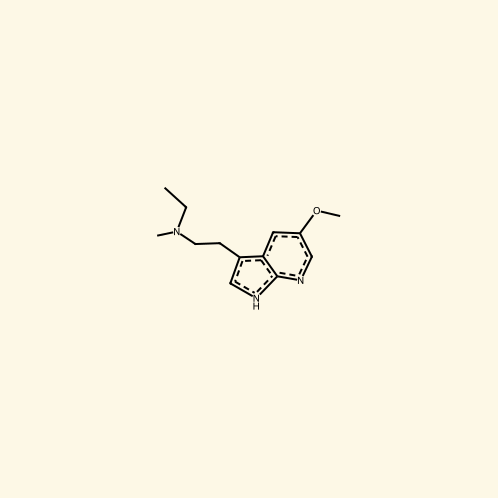 CCN(C)CCc1c[nH]c2ncc(OC)cc12